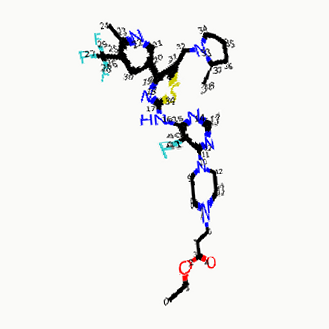 CCOC(=O)CCN1CCN(c2ncnc(Nc3nc(-c4cnc(C)c(C(F)(F)F)c4)c(CN4CCC[C@H]4C)s3)c2F)CC1